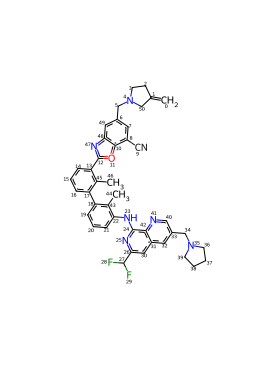 C=C1CCN(Cc2cc(C#N)c3oc(-c4cccc(-c5cccc(Nc6nc(C(F)F)cc7cc(CN8CCCC8)cnc67)c5C)c4C)nc3c2)C1